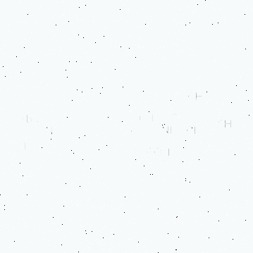 CN(c1ccc(CSC(C)(NC(=O)C(C)(C)CS)C(=O)O)cc1)C(C)(C)C